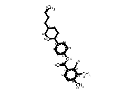 C=CCCC1CCC(c2ccc(OC(=O)c3ccc(C)c(C)c3F)cc2)OC1